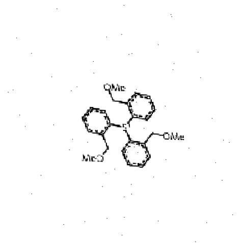 COCc1ccccc1[S+](c1ccccc1COC)c1ccccc1COC